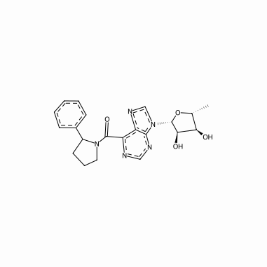 C[C@H]1O[C@@H](n2cnc3c(C(=O)N4CCCC4c4ccccc4)ncnc32)[C@H](O)[C@@H]1O